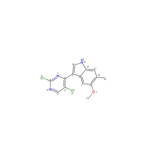 COc1cc2c(-c3nc(Cl)ncc3Cl)c[nH]c2cc1C